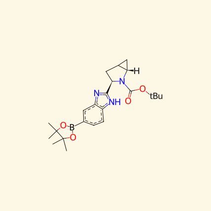 CC(C)(C)OC(=O)N1[C@@H](c2nc3cc(B4OC(C)(C)C(C)(C)O4)ccc3[nH]2)CC2C[C@@H]21